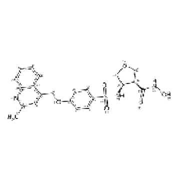 Cc1cc(COc2ccc(S(=O)(=O)N[C@H]3COC[C@H]3C(=O)NO)cc2)c2ccccc2n1